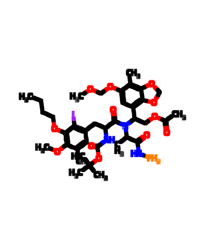 CCCCOc1c(I)c(CC(NC(=O)OC(C)(C)C)C(=O)N(C(C)C(=O)NP)C(COC(C)=O)c2cc(OCOC)c(C)c3c2OCO3)cc(C)c1OC